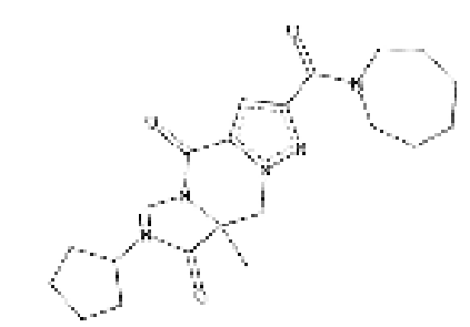 CN1C(=O)c2cc(C(=O)N3CCCCCC3)nn2CC1(C)C(=O)NC1CCCC1